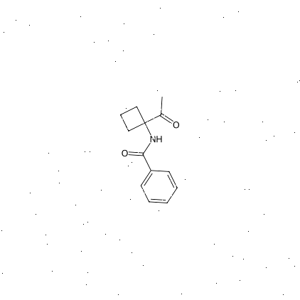 CC(=O)C1(NC(=O)c2ccccc2)CCC1